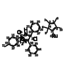 CC1=C(C)C(C)(C)[C]([Ru])=C1C.Cc1ccc(S(=O)(=O)N[C@@](Cl)(c2ccccc2)[C@@H](N)c2ccccc2)cc1